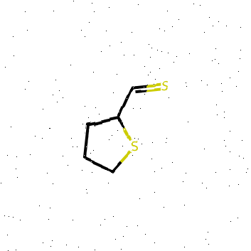 S=CC1CCCS1